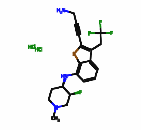 CN1CC[C@@H](Nc2cccc3c(CC(F)(F)F)c(C#CCN)sc23)[C@@H](F)C1.Cl.Cl